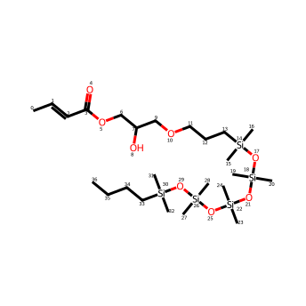 CC=CC(=O)OCC(O)COCCC[Si](C)(C)O[Si](C)(C)O[Si](C)(C)O[Si](C)(C)O[Si](C)(C)CCCC